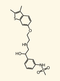 Cc1sc2cc(OCCNCC(O)c3cccc(NS(C)(=O)=O)c3)ccc2c1C